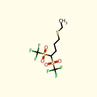 CCSCCCC(S(=O)(=O)C(F)(F)F)S(=O)(=O)C(F)(F)F